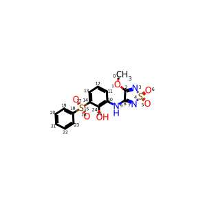 COC1=NS(=O)(=O)N=C1Nc1cccc(S(=O)(=O)c2ccccc2)c1O